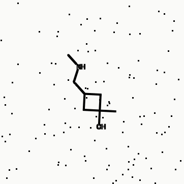 CNCC1CC(C)(O)C1